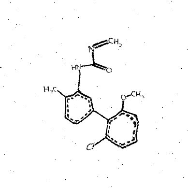 C=NC(=O)Nc1cc(-c2c(Cl)cccc2OC)ccc1C